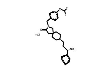 Cl.N[C@@H](CCN1CCC2(CC1)CC(=O)N(Cc1ccc(OC(F)F)cc1)C2)c1ccccc1